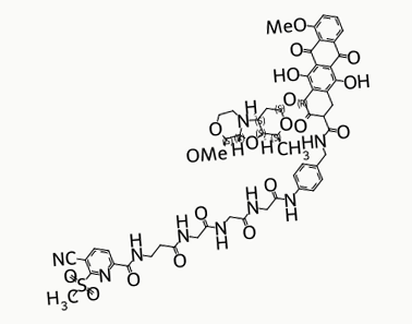 COc1cccc2c1C(=O)c1c(O)c3c(c(O)c1C2=O)CC(C(=O)NCc1ccc(NC(=O)CNC(=O)CNC(=O)CNC(=O)CCNC(=O)c2ccc(C#N)c(S(C)(=O)=O)n2)cc1)C(=O)[C@@H]3O[C@H]1C[C@H]2[C@H](O[C@@H]3[C@@H](OC)OCCN32)[C@H](C)O1